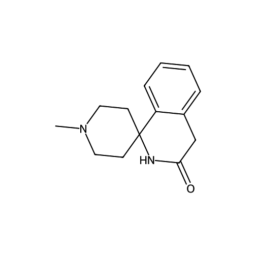 CN1CCC2(CC1)NC(=O)Cc1ccccc12